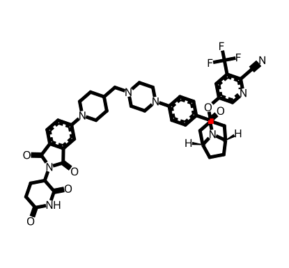 N#Cc1ncc(OC2C[C@H]3CC[C@@H](C2)N3C(=O)c2ccc(N3CCN(CC4CCN(c5ccc6c(c5)C(=O)N(C5CCC(=O)NC5=O)C6=O)CC4)CC3)cc2)cc1C(F)(F)F